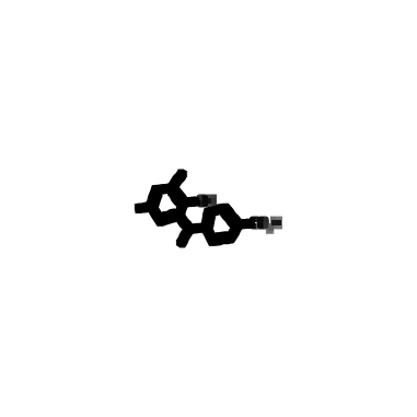 Cc1cc(C)c(O)c(C(C)c2ccc(C(=O)O)cc2)c1